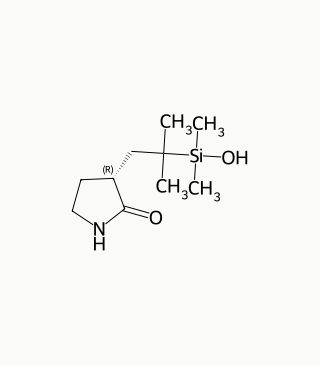 CC(C)(C[C@H]1CCNC1=O)[Si](C)(C)O